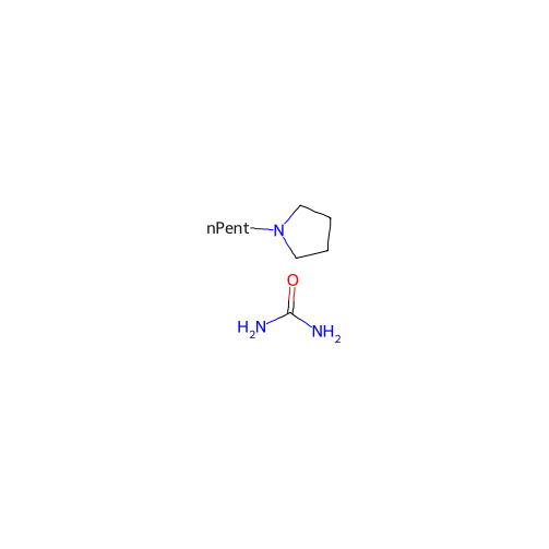 CCCCCN1CCCC1.NC(N)=O